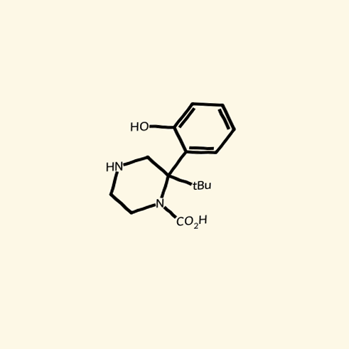 CC(C)(C)C1(c2ccccc2O)CNCCN1C(=O)O